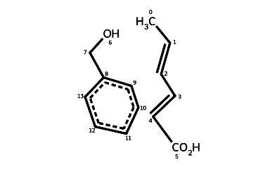 CC=CC=CC(=O)O.OCc1ccccc1